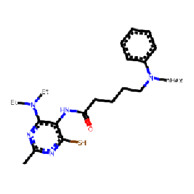 CCCCCCN(CCCCC(=O)Nc1c(S)nc(C)nc1N(CC)CC)c1ccccc1